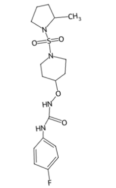 CC1CCCN1S(=O)(=O)N1CCC(ONC(=O)Nc2ccc(F)cc2)CC1